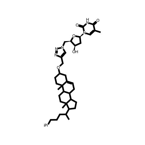 Cc1cn([C@H]2C[C@@H](O)[C@@H](Cn3cc(COC4CCC5(C)C(=CCC6C5CCC5(C)C(C(C)CCCC(C)C)CCC65)C4)nn3)O2)c(=O)[nH]c1=O